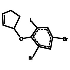 Brc1cc(Br)c(OC2C=CCC2)c(I)c1